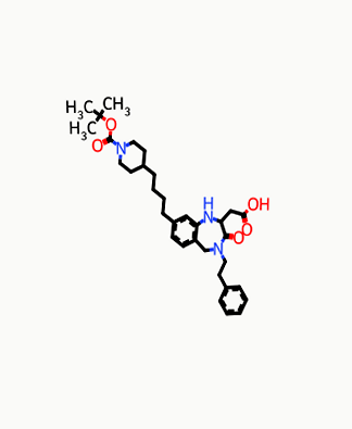 CC(C)(C)OC(=O)N1CCC(CCCCc2ccc3c(c2)NC(CC(=O)O)C(=O)N(CCc2ccccc2)C3)CC1